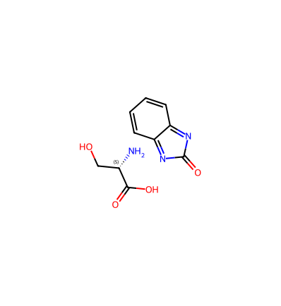 N[C@@H](CO)C(=O)O.O=C1N=c2ccccc2=N1